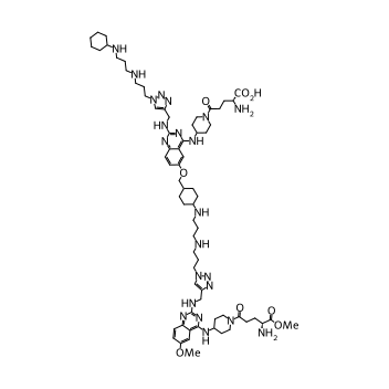 COC(=O)[C@@H](N)CCC(=O)N1CCC(Nc2nc(NCc3cn(CCCNCCCNC4CCC(COc5ccc6nc(NCc7cn(CCCNCCCNC8CCCCC8)nn7)nc(NC7CCN(C(=O)CC[C@H](N)C(=O)O)CC7)c6c5)CC4)nn3)nc3ccc(OC)cc23)CC1